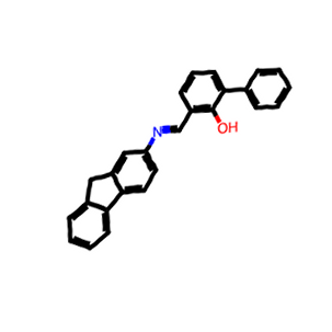 Oc1c(/C=N/c2ccc3c(c2)Cc2ccccc2-3)cccc1-c1ccccc1